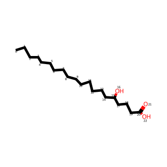 CCCCCCCCCCCCCCCC(O)CCCC(=O)O